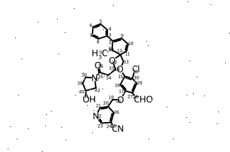 C[C@@H]1C(c2ccccc2)=CC=CC1(COc1cc(OCc2cncc(C#N)c2)c(C=O)cc1Cl)OCCC(=O)N1CCC(O)C1